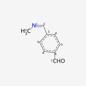 C/N=C\c1ccc(C=O)cc1